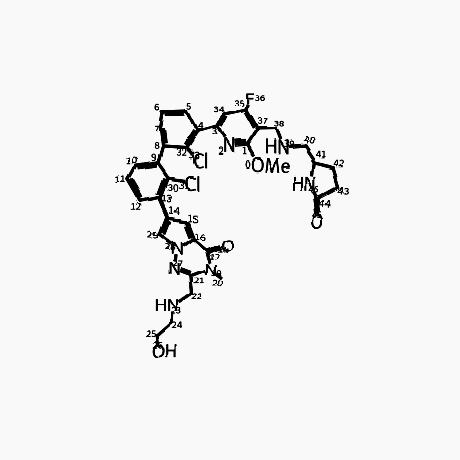 COc1nc(-c2cccc(-c3cccc(-c4cc5c(=O)n(C)c(CNCCO)nn5c4)c3Cl)c2Cl)cc(F)c1CNCC1CCC(=O)N1